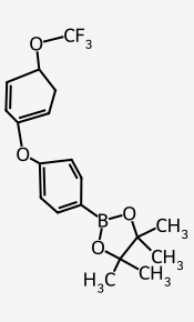 CC1(C)OB(c2ccc(OC3=CCC(OC(F)(F)F)C=C3)cc2)OC1(C)C